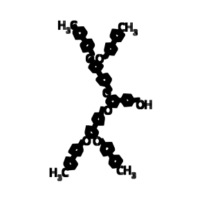 Cc1ccc(-c2ccc(COc3ccc(-c4ccc(COc5cc(OCc6ccc(-c7ccc(OCc8ccc(-c9ccc(C)cc9)cc8)c(OCc8ccc(-c9ccc(C)cc9)cc8)c7)cc6)cc(-c6ccc(CO)cc6)c5)cc4)cc3OCc3ccc(-c4ccc(C)cc4)cc3)cc2)cc1